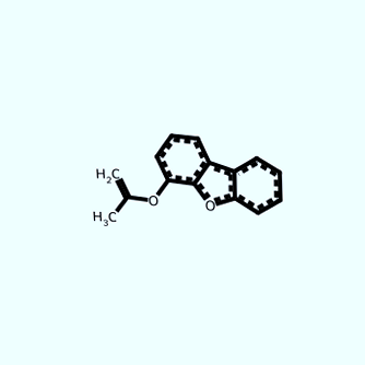 C=C(C)Oc1cccc2c1oc1ccccc12